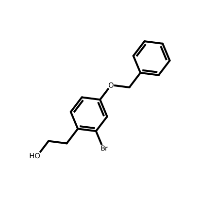 OCCc1ccc(OCc2ccccc2)cc1Br